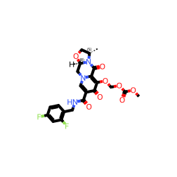 COC(=O)OCOc1c2n(cc(C(=O)NCc3ccc(F)cc3F)c1=O)C[C@H]1OC[C@H](C)N1C2=O